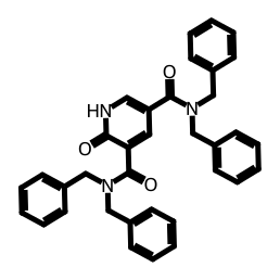 O=C(c1c[nH]c(=O)c(C(=O)N(Cc2ccccc2)Cc2ccccc2)c1)N(Cc1ccccc1)Cc1ccccc1